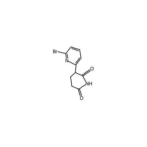 O=C1CCC(c2cccc(Br)n2)C(=O)N1